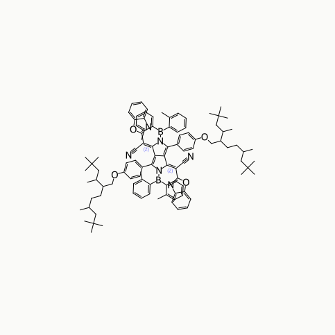 Cc1ccccc1B(c1ccccc1C)n1c(-c2ccc(OCC(CCC(C)CC(C)(C)C)C(C)CC(C)(C)C)cc2)c2/c(=C(\C#N)c3nc4ccccc4o3)n(B(c3ccccc3C)c3ccccc3C)c(-c3ccc(OCC(CCC(C)CC(C)(C)C)C(C)CC(C)(C)C)cc3)c2/c1=C(\C#N)c1nc2ccccc2o1